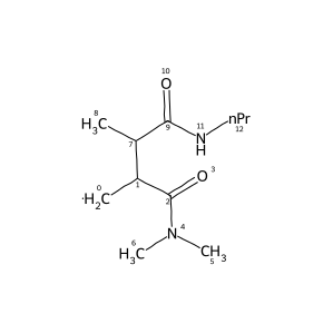 [CH2]C(C(=O)N(C)C)C(C)C(=O)NCCC